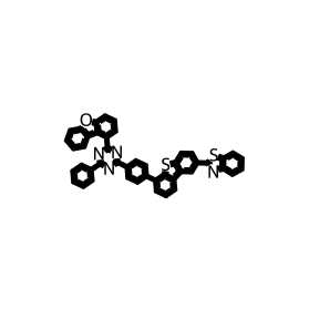 c1ccc(-c2nc(-c3ccc(-c4cccc5c4sc4ccc(-c6nc7ccccc7s6)cc45)cc3)nc(-c3cccc4oc5ccccc5c34)n2)cc1